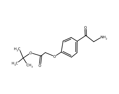 CC(C)(C)OC(=O)COc1ccc(C(=O)CN)cc1